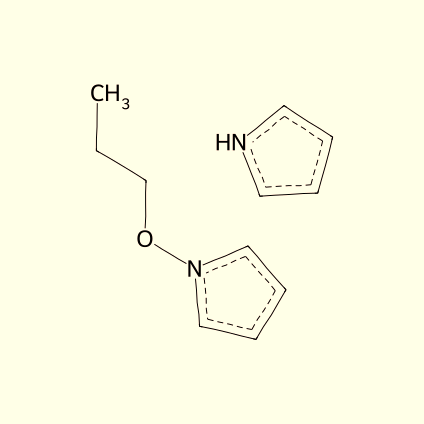 CCCOn1cccc1.c1cc[nH]c1